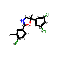 Cc1cc(C2=NCC(C)(c3cc(Cl)cc(Cl)c3)O2)ccc1F